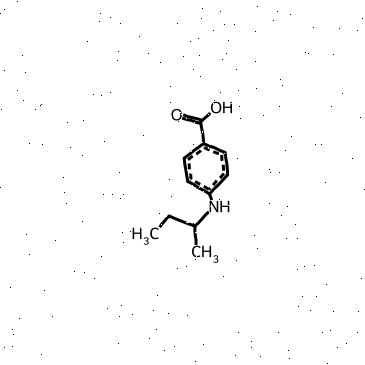 CCC(C)Nc1ccc(C(=O)O)cc1